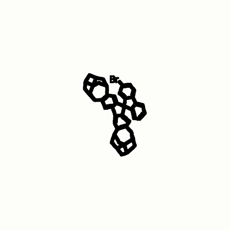 Brc1ccc2c(c1)C1(c3ccccc3-2)c2cc3c(cc2-c2cc4c(cc21)C1CC2CC5CC4CC52C1)C1CC2CC4CC3CC24C1